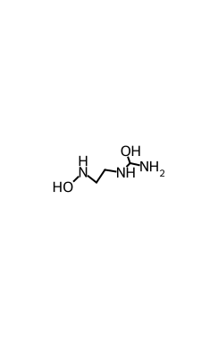 NC(O)NCCNO